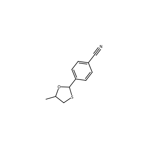 CC1CSC(c2ccc(C#N)cc2)O1